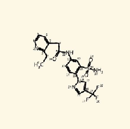 CCc1ncccc1CC(=O)Nc1ccc(-n2cc(C(F)(F)F)cn2)c(S(N)(=O)=O)c1